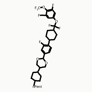 CCCCCC1CCC(C2COC(c3ccc(C4CCC(C(F)(F)Oc5cc(F)c(OC(F)(F)F)c(F)c5)CC4)c(F)c3)OC2)CC1